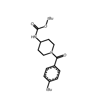 CC(C)(C)OC(=O)NC1CCN(C(=O)c2ccc(C(C)(C)C)cc2)CC1